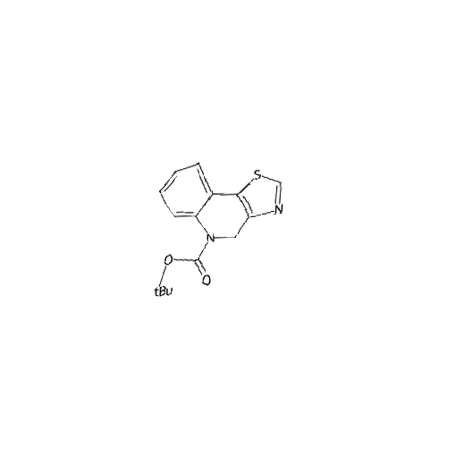 CC(C)(C)OC(=O)N1Cc2ncsc2-c2ccccc21